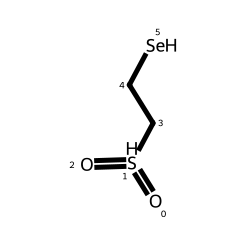 O=[SH](=O)CC[SeH]